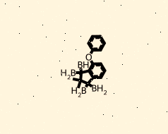 BC1(B)c2cccc(Oc3ccccc3)c2C(B)(B)C1(C)C